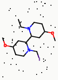 CCN1CCC(OC)CC1C1CC(OC)CCN1CI